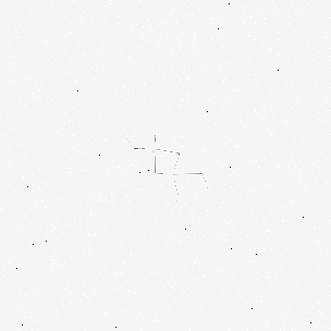 CC[Si]1(Cl)C[Si](Cl)(CC)C1